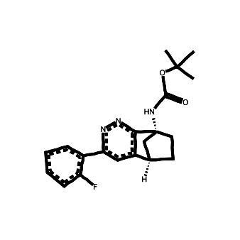 CC(C)(C)OC(=O)N[C@]12CC[C@H](C1)c1cc(-c3ccccc3F)nnc12